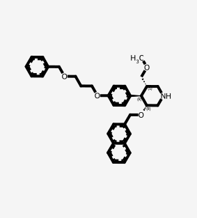 COC[C@@H]1CNC[C@H](OCc2ccc3ccccc3c2)[C@H]1c1ccc(OCCCOCc2ccccc2)cc1